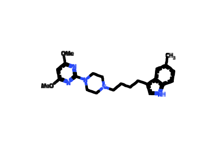 COc1cc(OC)nc(N2CCN(CCCCc3c[nH]c4ccc(C)cc34)CC2)n1